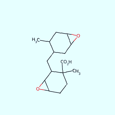 CC1CC2OC2CC1CC1C2OC2CCC1(C)C(=O)O